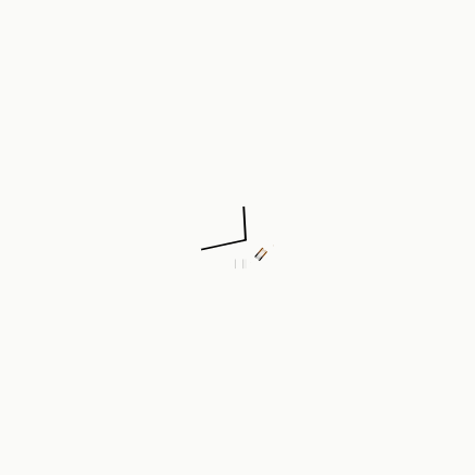 [CH2]CC.[S]=[InH]